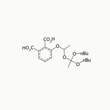 CCCCOC(C)(OCCCC)OC(C)Oc1cccc(C(=O)O)c1C(=O)O